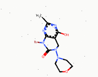 Cc1nc(O)c2c(n1)N(Br)C(=O)N(N1CCOCC1)C2